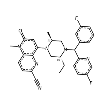 CC[C@@H]1CN(c2cc(=O)n(C)c3ccc(C#N)nc23)[C@@H](C)CN1C(c1cccc(F)c1)c1ccc(F)cn1